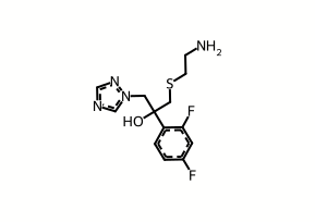 NCCSCC(O)(Cn1cncn1)c1ccc(F)cc1F